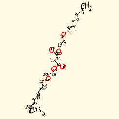 C=CCCCC=CCOCCOC(=O)CCC(=O)OCCOCC=CCCCC=C